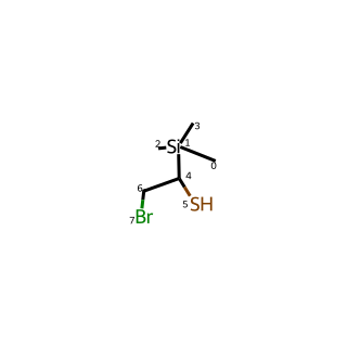 C[Si](C)(C)C(S)CBr